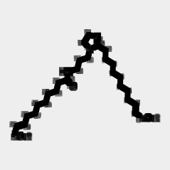 CCCCCCCCC=CCCCCCCCCC1=NCCN1CCCNC(=O)CCCCCCCC=CCCCCCCCC